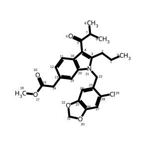 CCCc1c(C(=O)C(C)C)c2ccc(CC(=O)OC)cc2n1Cc1cc2c(cc1Cl)OCO2